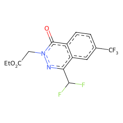 CCOC(=O)Cn1nc(C(F)F)c2cc(C(F)(F)F)ccc2c1=O